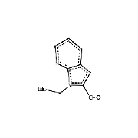 CC(C)(C)Cn1c(C=O)cc2cccnc21